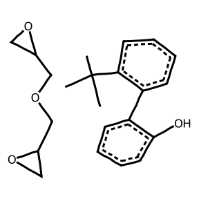 C(OCC1CO1)C1CO1.CC(C)(C)c1ccccc1-c1ccccc1O